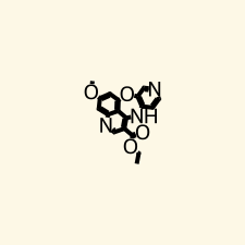 CCOC(=O)c1cnc2cc(OC)cc3c2c1Nc1ccncc1O3